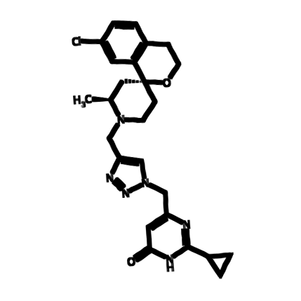 C[C@H]1C[C@@]2(CCN1Cc1cn(Cc3cc(=O)[nH]c(C4CC4)n3)nn1)OCCc1ccc(Cl)cc12